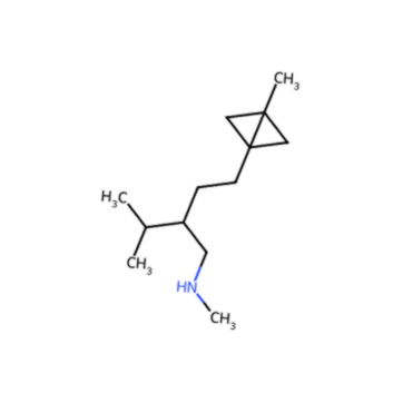 CNCC(CCC12CC1(C)C2)C(C)C